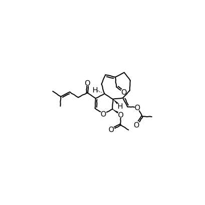 CC(=O)O/C=C1\CCC/C(C=O)=C/C[C@@H]2C(C(=O)CC=C(C)C)=CO[C@H](OC(C)=O)[C@@H]12